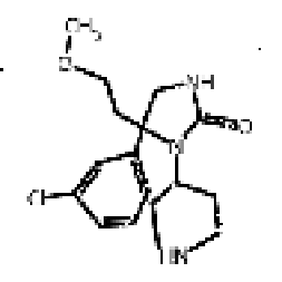 COCCC1(c2cccc(Cl)c2)CNC(=O)N1C1CCNCC1